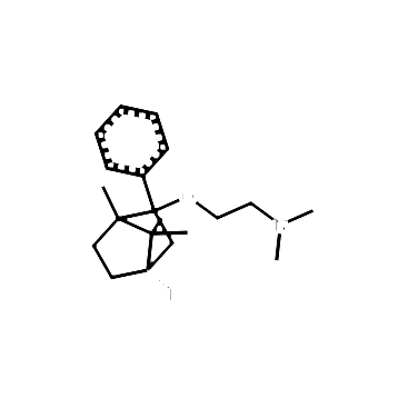 CN(C)CCOC1(c2ccccc2)C[C@H]2CCC1(C)C2(C)C